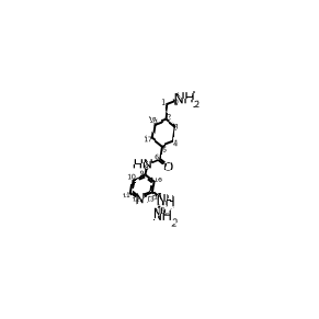 NCC1CCC(C(=O)Nc2ccnc(NN)c2)CC1